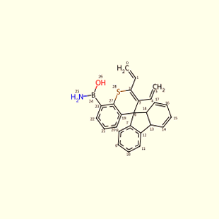 C=CC1=C(C=C)C2(c3ccccc3C3C=CC=CC32)c2cccc(B(N)O)c2S1